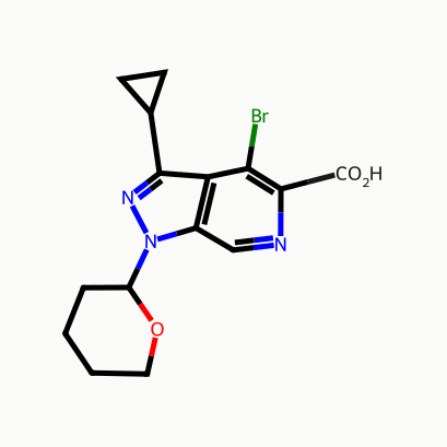 O=C(O)c1ncc2c(c(C3CC3)nn2C2CCCCO2)c1Br